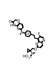 CN(C(=O)O)C1(COc2ccc3ncc(F)c(CCC45CCC(N(C)c6ccc7c(n6)NC(=O)CO7)(CC4)CO5)c3n2)CC1